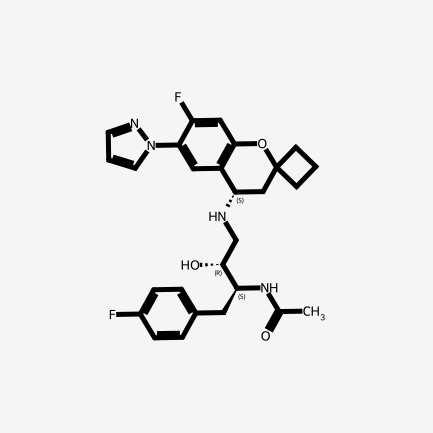 CC(=O)N[C@@H](Cc1ccc(F)cc1)[C@H](O)CN[C@H]1CC2(CCC2)Oc2cc(F)c(-n3cccn3)cc21